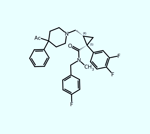 CC(=O)C1(c2ccccc2)CCN(C[C@@H]2C[C@@]2(C(=O)N(C)Cc2ccc(F)cc2)c2ccc(F)c(F)c2)CC1